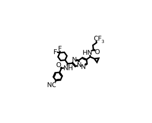 N#Cc1ccc(C(=O)N[C@H](c2cn3ncc(C(NC(=O)CCC(F)(F)F)C4CC4)cc3n2)C2CCC(F)(F)CC2)cc1